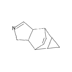 C1=CC2C3CN=CC3C1C1CC21